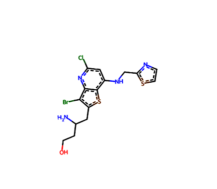 NC(CCO)Cc1sc2c(NCc3nccs3)cc(Cl)nc2c1Br